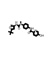 CN(C(=O)Nc1cc(C(C)(C)C)on1)c1ccc(NC(=O)c2ccc(O)cn2)cc1